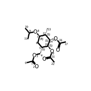 CC(=O)OC[C@@H]1C[C@@H](OC(C)C)[C@H](C)[C@H](OC(C)=O)[C@H]1OC(C)=O